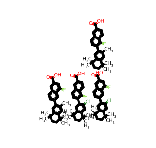 CC1(C)CCC(C)(C)c2cc(-c3ccc4cc(C(=O)O)cc(F)c4c3)c(Cl)cc21.CC1(C)CCC(C)(C)c2cc(-c3ccc4cc(C(=O)O)ccc4c3F)c(Cl)cc21.Cc1cc2c(cc1-c1ccc3cc(C(=O)O)cc(F)c3c1)C(C)(C)CCC2(C)C.Cc1cc2c(cc1-c1ccc3cc(C(=O)O)ccc3c1F)C(C)(C)CCC2(C)C